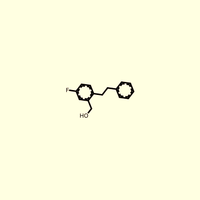 OCc1cc(F)ccc1CCc1ccccc1